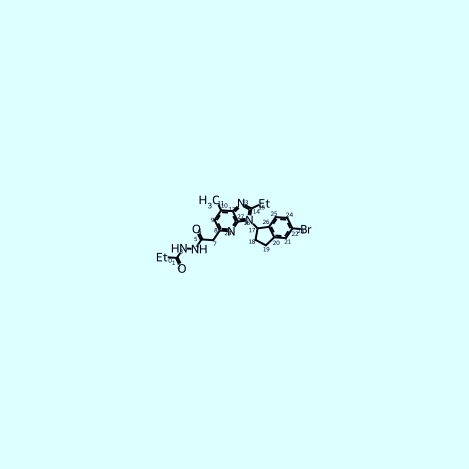 CCC(=O)NNC(=O)Cc1cc(C)c2nc(CC)n(C3CCc4cc(Br)ccc43)c2n1